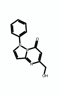 O=c1cc(CO)nc2ccn(-c3ccccc3)n12